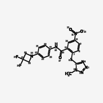 Cn1nnnc1Sc1ccc([N+](=O)[O-])cc1C(=O)Nc1ccc(N2CC(F)(F)C2)cc1